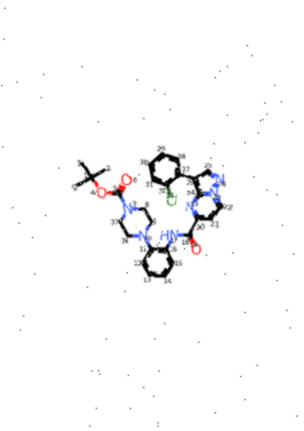 CC(C)(C)OC(=O)N1CCN(c2ccccc2NC(=O)c2ccn3ncc(-c4ccccc4Cl)c3n2)CC1